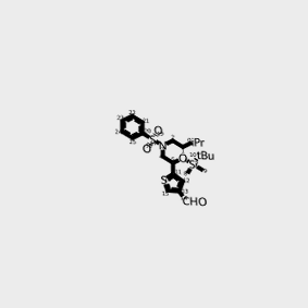 CC(C)CCN(CC(O[Si](C)(C)C(C)(C)C)c1cc(C=O)cs1)S(=O)(=O)c1ccccc1